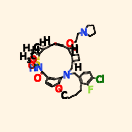 C[C@@H]1[C@@H](C)S(=O)(=O)NC(=O)c2ccc3c(c2)N(Cc2ccc(Cl)c(F)c2CCCCO3)C[C@@H]2CC[C@H]2[C@@H](OCCN2CCCC2)C2=C[C@H]1C2